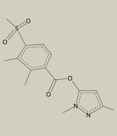 Cc1cc(OC(=O)c2ccc(S(C)(=O)=O)c(C)c2C)n(C)n1